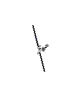 CCCCCCCCC/C=C/C=C/C=CC=CC(=O)O[C@H](COC(=O)CCCCCCCCCCCCCCC)COP(=O)([O-])OCC[N+](C)(C)C